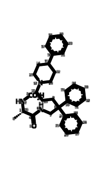 C[C@H](NC(=O)O)C(=O)NCC(CCCN1CCC(c2ccccc2)CC1)(c1ccccc1)c1ccccc1